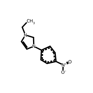 CCN1C=CN(c2ccc([N+](=O)[O-])cc2)C1